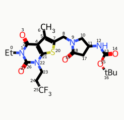 CCn1c(=O)c2c(C)c(CN3CC(NC(=O)OC(C)(C)C)CC3=O)sc2n(CCC(F)(F)F)c1=O